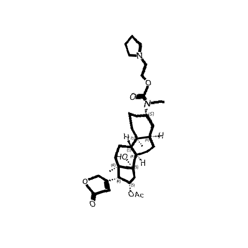 CC(=O)O[C@H]1C[C@]2(O)[C@@H]3CC[C@@H]4C[C@@H](N(C)C(=O)OCCN5CCCC5)CC[C@]4(C)[C@H]3CC[C@]2(C)[C@H]1C1=CC(=O)OC1